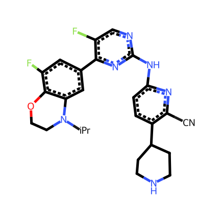 CC(C)N1CCOc2c(F)cc(-c3nc(Nc4ccc(C5CCNCC5)c(C#N)n4)ncc3F)cc21